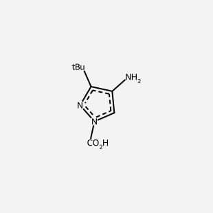 CC(C)(C)c1nn(C(=O)O)cc1N